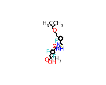 CCC(CC)COCCCc1cccc(-c2csc(NC(=O)c3cc(F)c(C=C(C)C(=O)O)c(F)c3)n2)c1F